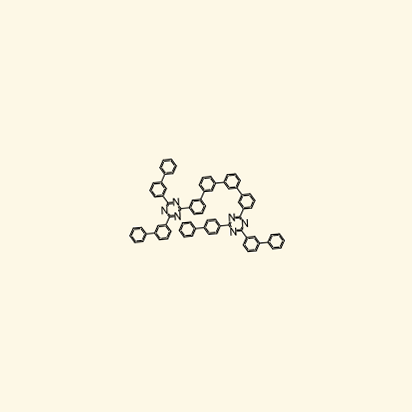 c1ccc(-c2ccc(-c3nc(-c4cccc(-c5ccccc5)c4)nc(-c4cccc(-c5cccc(-c6cccc(-c7cccc(-c8nc(-c9cccc(-c%10ccccc%10)c9)nc(-c9cccc(-c%10ccccc%10)c9)n8)c7)c6)c5)c4)n3)cc2)cc1